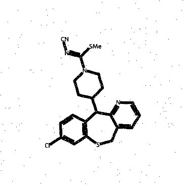 CSC(=NC#N)N1CCC(C2c3ccc(Cl)cc3SCc3cccnc32)CC1